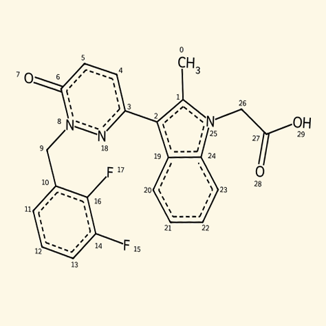 Cc1c(-c2ccc(=O)n(Cc3cccc(F)c3F)n2)c2ccccc2n1CC(=O)O